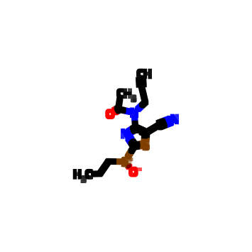 C#CCN(C(C)=O)c1nc([S+]([O-])CCC)sc1C#N